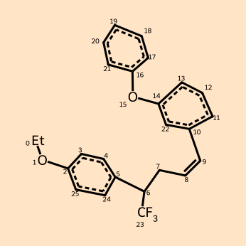 CCOc1ccc(C(C/C=C\c2cccc(Oc3ccccc3)c2)C(F)(F)F)cc1